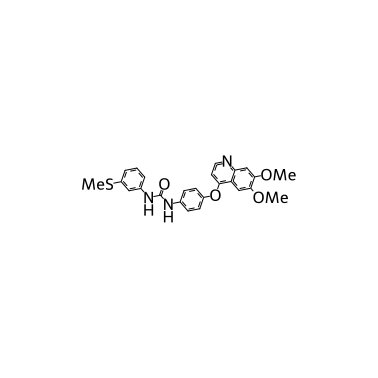 COc1cc2nccc(Oc3ccc(NC(=O)Nc4cccc(SC)c4)cc3)c2cc1OC